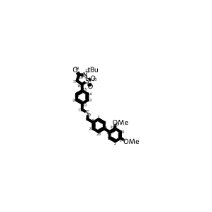 COc1ccc(-c2ccc(CSCc3ccc(C4CC(=O)N(C(C)(C)C)S4(=O)=O)cc3)cc2)c(OC)c1